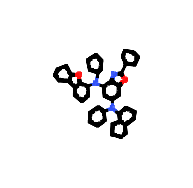 c1ccc(-c2nc3c(N(c4ccccc4)c4cccc5c4oc4ccccc45)cc(N(c4ccccc4)c4cccc5ccccc45)cc3o2)cc1